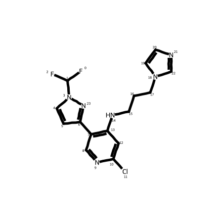 FC(F)n1ccc(-c2cnc(Cl)cc2NCCCn2ccnc2)n1